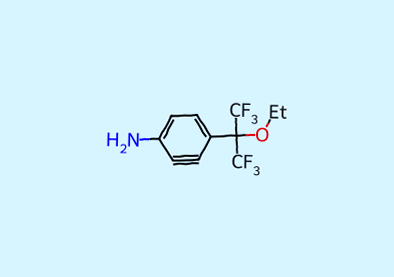 CCOC(c1c#cc(N)cc1)(C(F)(F)F)C(F)(F)F